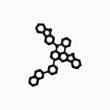 c1cc(-c2ccc(N(c3ccc4c(c3)oc3ccccc34)c3ccccc3-c3cccc4c3oc3ccccc34)cc2)cc(-c2ccc3ccccc3c2)c1